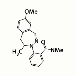 CNC(=O)c1ccccc1N1N=Cc2cc(OC)ccc2CC1C